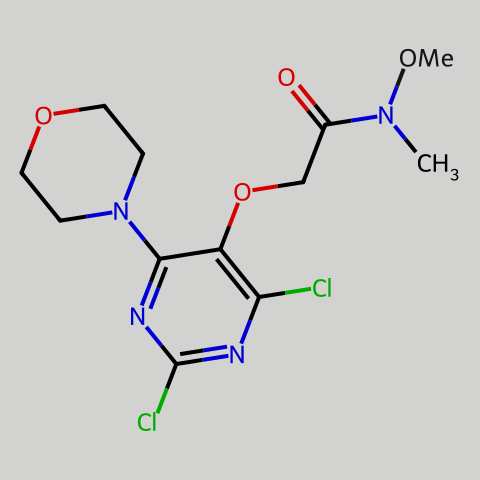 CON(C)C(=O)COc1c(Cl)nc(Cl)nc1N1CCOCC1